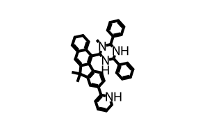 CN1C(c2ccccc2)NC(c2ccccc2)NC1c1c2c(cc3c1=CCCC=3)C(C)(C)c1cc(C3=CC=CCN3)ccc1-2